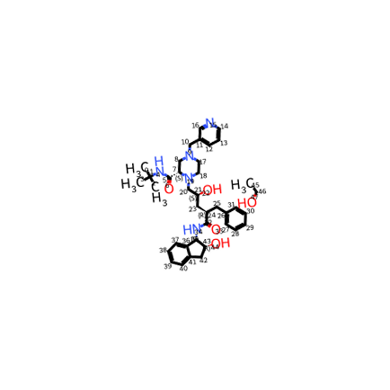 CC(C)(C)NC(=O)[C@@H]1CN(Cc2cccnc2)CCN1C[C@@H](O)C[C@@H](Cc1ccccc1)C(=O)N[C@H]1c2ccccc2C[C@H]1O.CCO